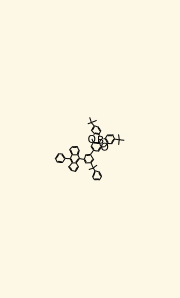 CC(C)(C)c1ccc2c(c1)Oc1cc(-c3cc(-c4c5ccccc5c(-c5ccccc5)c5ccccc45)cc(C(C)(C)c4ccccc4)c3)cc3c1B2c1ccc(C(C)(C)C)cc1O3